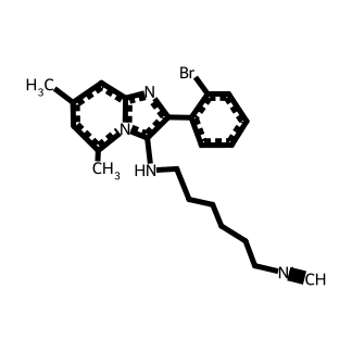 C#[N+]CCCCCCNc1c(-c2ccccc2Br)nc2cc(C)cc(C)n12